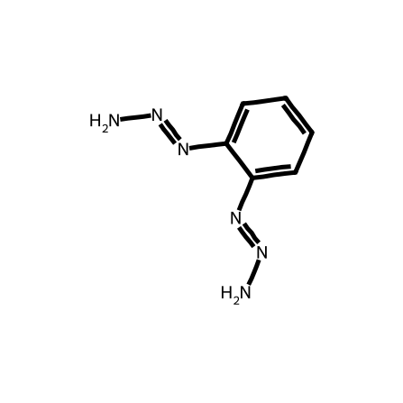 NN=Nc1ccccc1N=NN